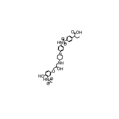 CCC(C(=O)O)c1ccc(S(=O)(=O)Nc2ccc(N3CCC(NC[C@H](O)COc4ccc(O)c(NS(C)(=O)=O)c4)CC3)cc2)cc1